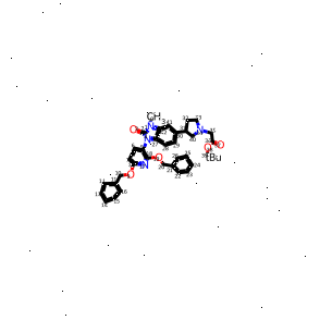 Cn1c(=O)n(-c2ccc(OCc3ccccc3)nc2OCc2ccccc2)c2ccc(C3CCN(CC(=O)OC(C)(C)C)C3)cc21